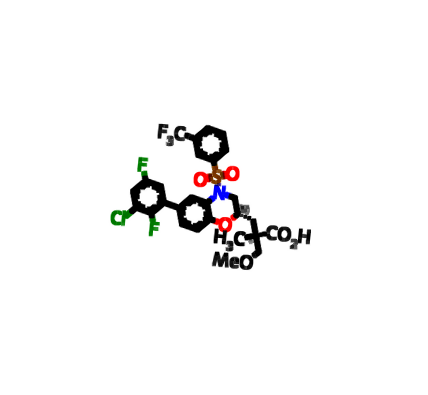 COC[C@](C)(C[C@H]1CN(S(=O)(=O)c2cccc(C(F)(F)F)c2)c2cc(-c3cc(F)cc(Cl)c3F)ccc2O1)C(=O)O